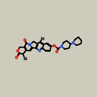 CCc1c2c(nc3ccc(OC(=O)N4CCC(N5CCCCC5)CC4)cc13)-c1cc3c(c(=O)n1C2)COC(=O)C3CC